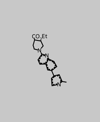 CCOC(=O)C1CCN(c2ccc3cc(-c4ccnc(C)c4)ccc3n2)CC1